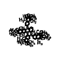 CC1(C)c2ccc(N3c4cc5c(cc4B4c6cc7c(cc6N(c6ccc8c(c6)C(C)(C)C(C)(C)C8(C)C)c6cccc3c64)C(C)(C)C(C)(C)C7(C)C)C(C)(C)C(C)(C)C5(C)C)cc2C(C)(C)C1(C)C